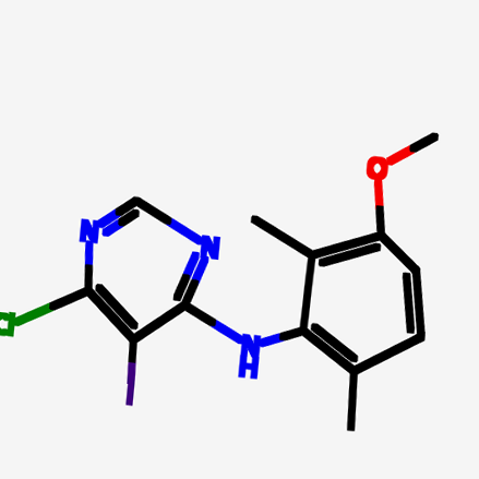 COc1ccc(C)c(Nc2ncnc(Cl)c2I)c1C